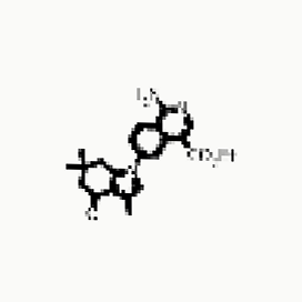 CCOC(=O)c1cnc(N)c2ccc(-n3cc(C)c4c3CC(C)(C)CC4=O)cc12